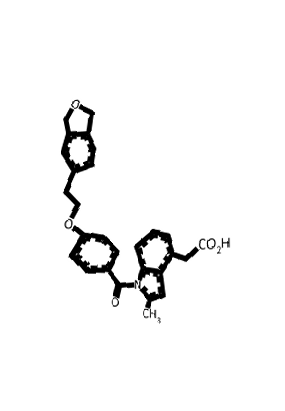 Cc1cc2c(CC(=O)O)cccc2n1C(=O)c1ccc(OCCc2ccc3c(c2)COC3)cc1